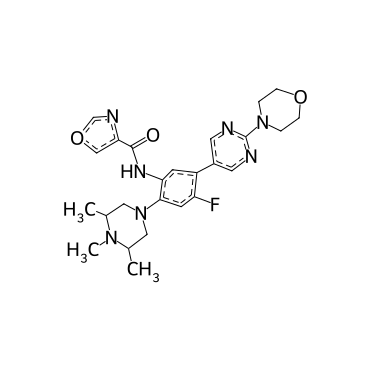 CC1CN(c2cc(F)c(-c3cnc(N4CCOCC4)nc3)cc2NC(=O)c2cocn2)CC(C)N1C